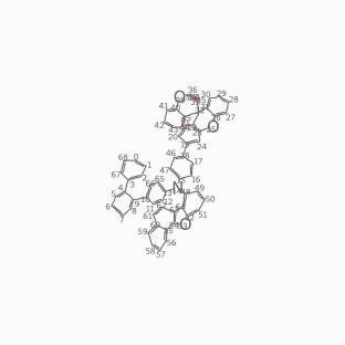 c1ccc(-c2ccccc2-c2ccc(N(c3ccc(-c4ccc5c(c4)Oc4ccccc4C54c5ccccc5Oc5ccccc54)cc3)c3cccc4oc5c6ccccc6ccc5c34)cc2)cc1